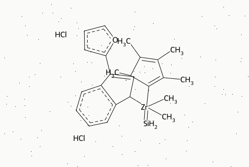 CC1=C(C)C(C)[C]([Zr]([CH3])([CH3])(=[SiH2])[CH]2C=C(c3ccco3)c3ccccc32)=C1C.Cl.Cl